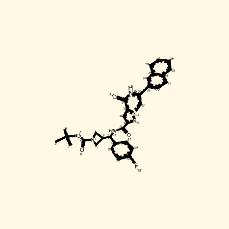 CC(C)(C)OC(=O)N1CC(C(NC(=O)c2cc3c(=O)[nH]c(-c4ccc5ccccc5c4)cn3n2)c2ccc(F)cc2)C1